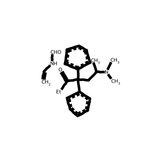 C=CNC=O.CCC(=O)C(CC(C)N(C)C)(c1ccccc1)c1ccccc1